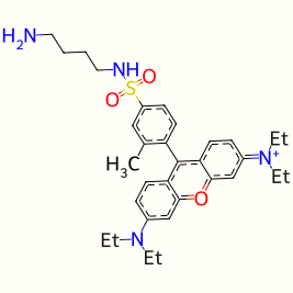 CCN(CC)c1ccc2c(-c3ccc(S(=O)(=O)NCCCCN)cc3C)c3ccc(=[N+](CC)CC)cc-3oc2c1